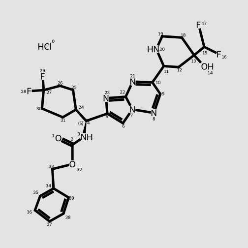 Cl.O=C(N[C@H](c1cn2ncc(C3CC(O)(C(F)F)CCN3)nc2n1)C1CCC(F)(F)CC1)OCc1ccccc1